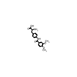 COc1ccc(C(=O)Nc2ccc(CC(N)C(=O)O)cc2)cc1OC